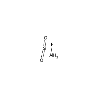 O=[Si]=O.[F][AlH2]